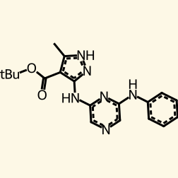 Cc1[nH]nc(Nc2cncc(Nc3ccccc3)n2)c1C(=O)OC(C)(C)C